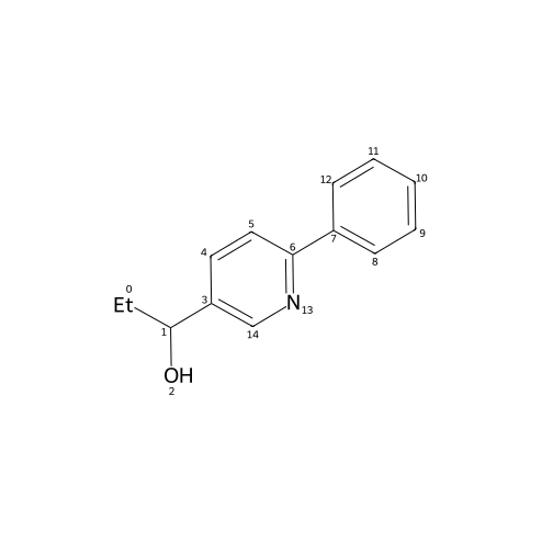 CCC(O)c1ccc(-c2ccccc2)nc1